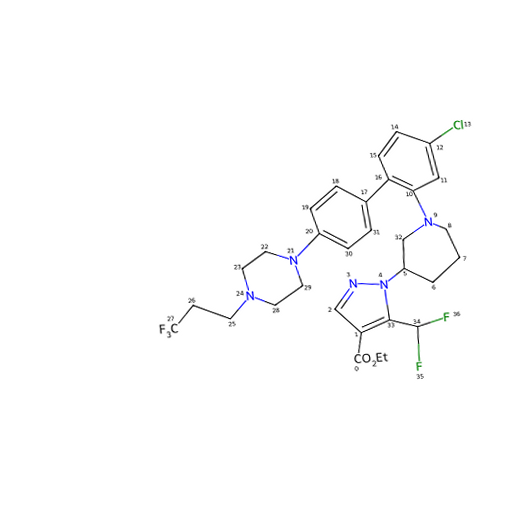 CCOC(=O)c1cnn(C2CCCN(c3cc(Cl)ccc3-c3ccc(N4CCN(CCC(F)(F)F)CC4)cc3)C2)c1C(F)F